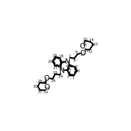 c1ccc2c(c1)N(CCCOC1CCCCO1)c1ccccc1N2CCCOC1CCCCO1